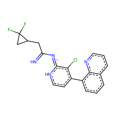 N=C(CC1CC1(F)F)/N=c1\[nH]ccc(-c2cccc3cccnc23)c1Cl